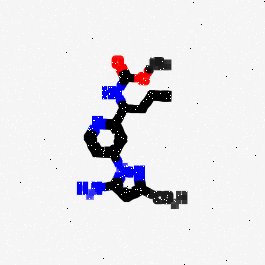 C=CCC(NC(=O)OC(C)(C)C)c1cc(-n2nc(C(=O)O)cc2N)ccn1